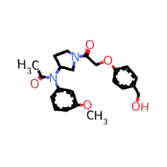 COc1cccc(N(C(C)=O)C2CCN(C(=O)COc3ccc(CO)cc3)C2)c1